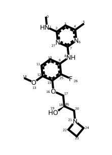 CNc1cc(C)nc(Nc2ccc(OC)c(OC[C@H](O)CN3CCC3)c2F)n1